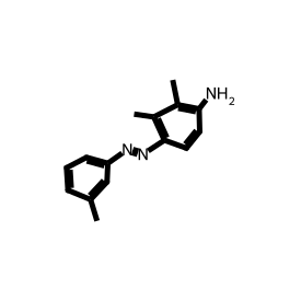 Cc1cccc(N=Nc2ccc(N)c(C)c2C)c1